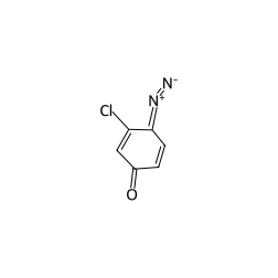 [N-]=[N+]=C1C=CC(=O)C=C1Cl